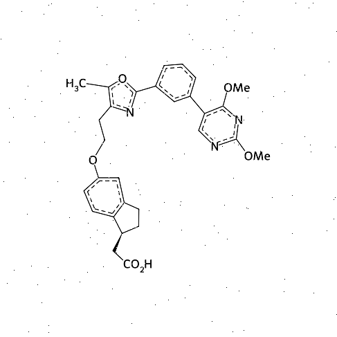 COc1ncc(-c2cccc(-c3nc(CCOc4ccc5c(c4)CC[C@H]5CC(=O)O)c(C)o3)c2)c(OC)n1